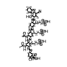 CC(=O)Nc1cc(N=Nc2cc(SCCCS(=O)(=O)O)c(N=Nc3cc(OCCCS(=O)(=O)O)c(N=Nc4c(C)c(C#N)c5nc6ccccc6n5c4O)cc3C)cc2NC(C)=O)c(SCCCS(=O)(=O)O)cc1N=Nc1ccc(Cl)c(S(=O)(=O)O)c1